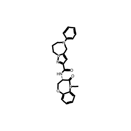 CN1C(=O)[C@@H](NC(=O)c2cc3n(n2)CCCN(c2ccccc2)C3)COc2ccccc21